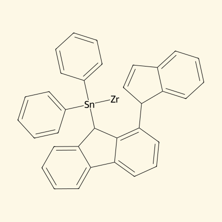 [Zr][Sn]([c]1ccccc1)([c]1ccccc1)[CH]1c2ccccc2-c2cccc(C3C=Cc4ccccc43)c21